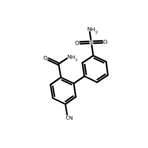 N#Cc1ccc(C(N)=O)c(-c2cccc(S(N)(=O)=O)c2)c1